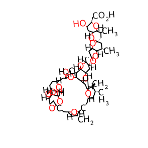 C=C1C[C@@H]2CC[C@]34CC(O3)[C@@H]3O[C@H]5CC[C@H](CC(=O)O[C@@H]6[C@@H](C)[C@@H]7O[C@@H]8C[C@@]9(C[C@@H]%10O[C@]%11(C[C@H](C)[C@@H]%12O[C@H](CC(=O)O)[C@H](O)C[C@@H]%12O%11)C[C@H](C)[C@@H]%10O9)O[C@@H]8C[C@@H]7O[C@H]6C[C@H]6O[C@@H](CC[C@@H]1O2)C[C@@H](C)C6=C)O[C@@H]5[C@H](O4)[C@@H]3O